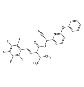 CC(C)C(/C=C/c1c(F)c(F)c(F)c(F)c1F)C(=O)OC(C#N)c1cccc(Oc2ccccc2)n1